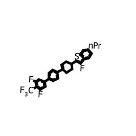 CCCc1ccc2c(F)c(C3CC=C(c4ccc(-c5cc(F)c(C(F)(F)F)c(F)c5)cc4)CC3)sc2c1